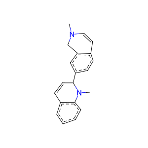 CN1C=Cc2ccc(C3C=Cc4ccccc4N3C)cc2C1